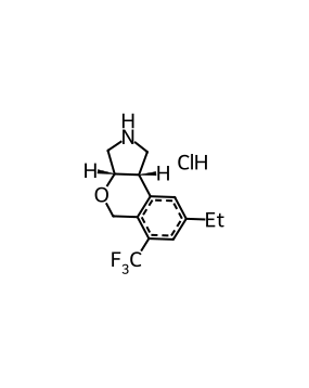 CCc1cc2c(c(C(F)(F)F)c1)CO[C@@H]1CNC[C@H]21.Cl